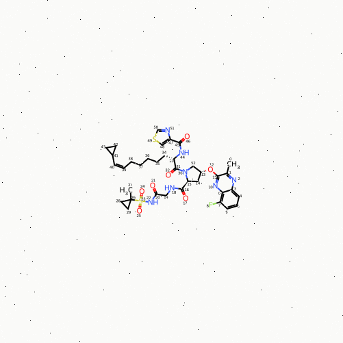 Cc1nc2cccc(F)c2nc1O[C@@H]1C[C@@H](C(=O)NCC(=O)NS(=O)(=O)C2(C)CC2)N(C(=O)[C@H](CCCCC/C=C\C2CC2)NC(=O)c2cscn2)C1